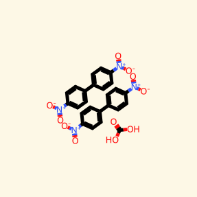 O=C(O)O.O=[N+]([O-])c1ccc(-c2ccc([N+](=O)[O-])cc2)cc1.O=[N+]([O-])c1ccc(-c2ccc([N+](=O)[O-])cc2)cc1